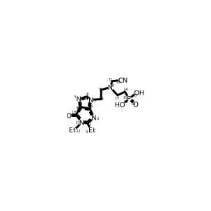 CCc1nc2c(ncn2CCN(CC#N)CCP(=O)(O)O)c(=O)n1CC